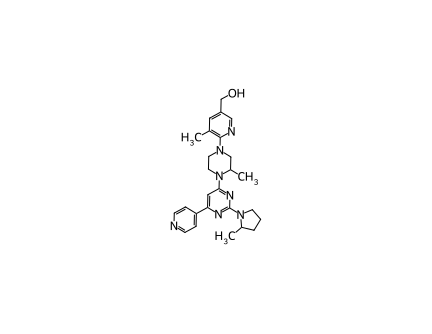 Cc1cc(CO)cnc1N1CCN(c2cc(-c3ccncc3)nc(N3CCCC3C)n2)C(C)C1